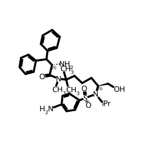 CC(C)N([C@H](CO)CCCC(C)(C)N(C)C(=O)[C@@H](N)C(c1ccccc1)c1ccccc1)S(=O)(=O)c1ccc(N)cc1